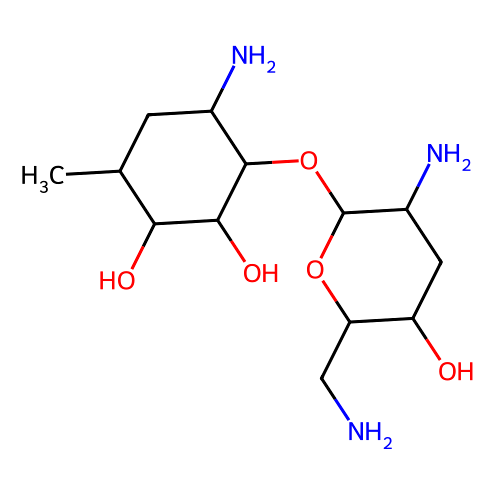 CC1CC(N)C(OC2OC(CN)C(O)CC2N)C(O)C1O